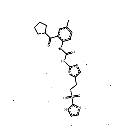 Cc1ccc(NC(=O)Nc2ncc(CCS(=O)(=O)c3ncc[nH]3)s2)c(C(=O)C2CCCC2)c1